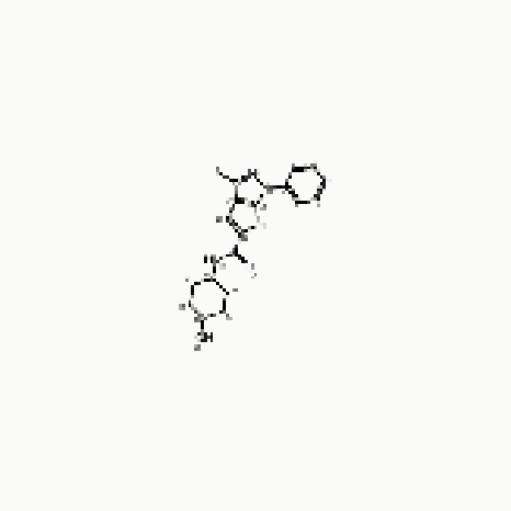 Cc1nn(-c2ccccc2)c2sc(C(=O)NC3CCC(O)CC3)cc12